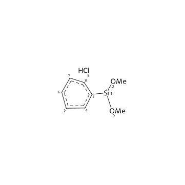 CO[Si](OC)c1ccccc1.Cl